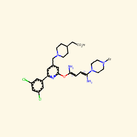 CCN1CCN(/C(N)=C/C=C(\N)Oc2cc(CN3CCC(CC(=O)O)CC3)cc(-c3cc(Cl)cc(Cl)c3)n2)CC1